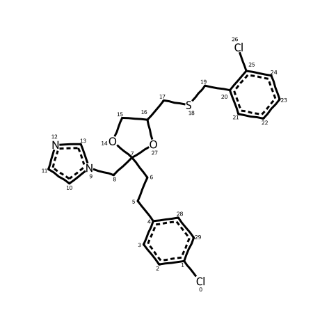 Clc1ccc(CCC2(Cn3ccnc3)OCC(CSCc3ccccc3Cl)O2)cc1